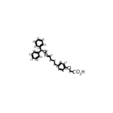 O=C(O)COc1ccc(CCCC=NOC(c2ccccc2)c2ccccc2)cc1